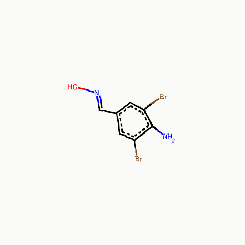 Nc1c(Br)cc(C=NO)cc1Br